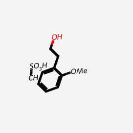 COc1ccccc1CCO.CS(=O)(=O)O